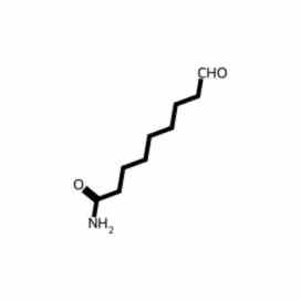 NC(=O)CCCCCCCC=O